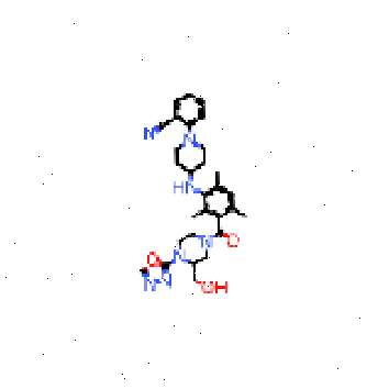 Cc1cc(C)c(C(=O)N2CCN(c3nnco3)[C@H](CO)C2)c(C)c1NC1CCN(c2ccccc2C#N)CC1